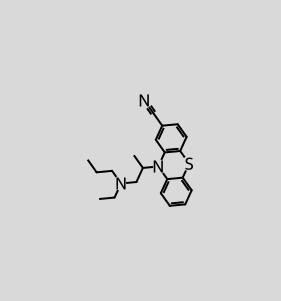 CCCN(CC)CC(C)N1c2ccccc2Sc2ccc(C#N)cc21